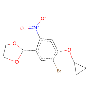 O=[N+]([O-])c1cc(OC2CC2)c(Br)cc1C1OCCO1